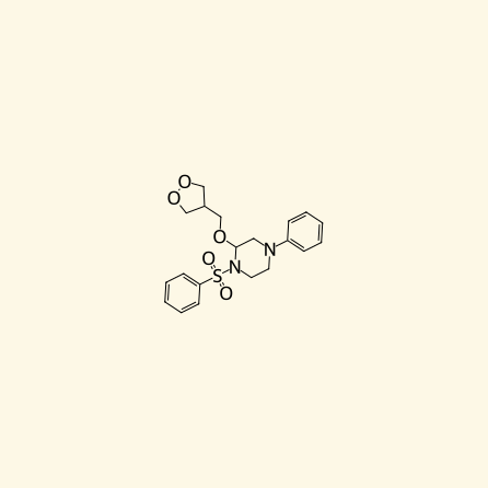 O=S(=O)(c1ccccc1)N1CCN(c2ccccc2)CC1OCC1COOC1